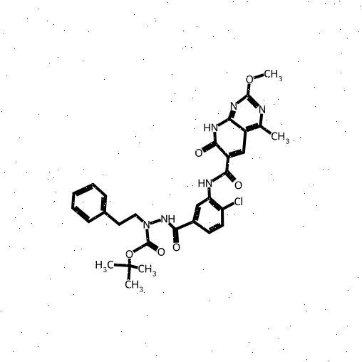 COc1nc(C)c2cc(C(=O)Nc3cc(C(=O)NN(CCc4ccccc4)C(=O)OC(C)(C)C)ccc3Cl)c(=O)[nH]c2n1